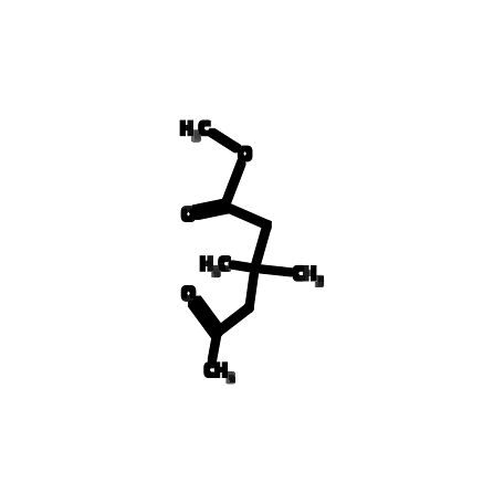 COC(=O)CC(C)(C)CC(C)=O